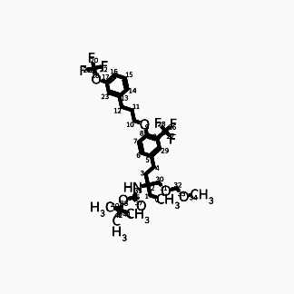 CCC(CCc1ccc(OCCCc2cccc(OC(F)(F)F)c2)c(C(F)(F)F)c1)(COCOC)NC(=O)OC(C)(C)C